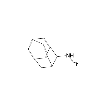 CCNC1C2CC3CC(C2)CC1C3